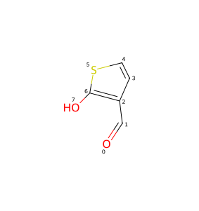 O=Cc1ccsc1O